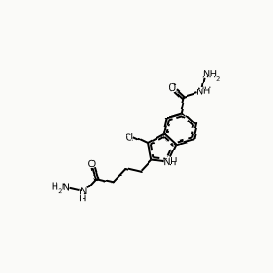 NNC(=O)CCCc1[nH]c2ccc(C(=O)NN)cc2c1Cl